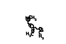 CCOCC1(CCc2ccsc2C)CCN(Cc2cnn(C)c2)CC1